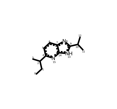 CCC(C)c1ccc2nc(C(C)C)[nH]c2n1